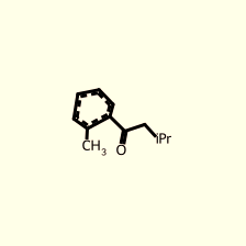 Cc1ccccc1C(=O)CC(C)C